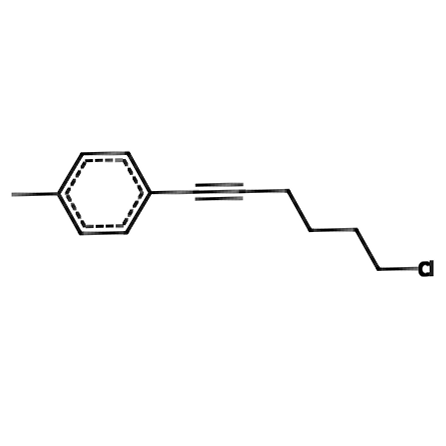 Cc1ccc(C#CCCCCCl)cc1